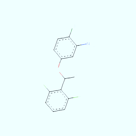 CC(Oc1ccc(Cl)c(N)c1)c1c(F)cccc1F